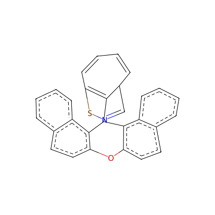 C1=CC2=C(C3c4c(ccc5ccccc45)Oc4ccc5ccccc5c43)C(C=C1)C=NS2